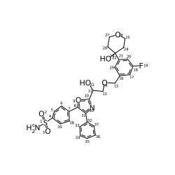 NS(=O)(=O)c1ccc(-c2oc(C(O)COCc3cc(F)cc(C4(O)CCOCC4)c3)nc2-c2ccccc2)cc1